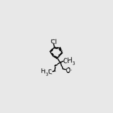 CCCC(C)(C[O])c1ccc(Cl)cc1